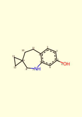 Oc1ccc2c(c1)NCC1(CC2)CC1